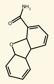 NC(=O)C1=CC=CC2C1OC1C=CC=CC12